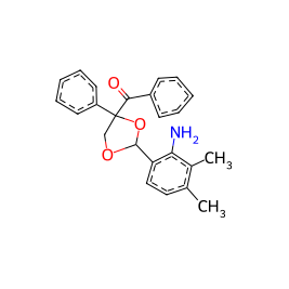 Cc1ccc(C2OCC(C(=O)c3ccccc3)(c3ccccc3)O2)c(N)c1C